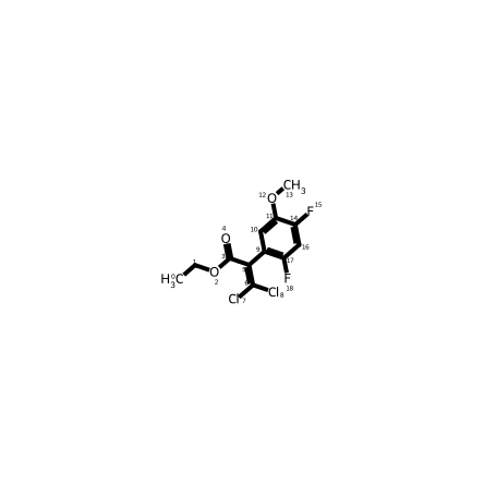 CCOC(=O)C(=C(Cl)Cl)c1cc(OC)c(F)cc1F